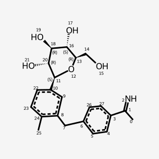 CC(=N)c1ccc(Cc2cc([C@@H]3O[C@H](CO)[C@@H](O)[C@H](O)[C@H]3O)ccc2C)cc1